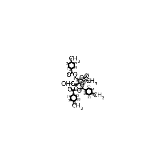 Cc1ccc(C(=O)OC[C@@H](OS(C)(=O)=O)[C@@H](OC(=O)c2ccc(C)cc2)[C@@H](C=O)OC(=O)c2ccc(C)cc2)cc1